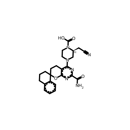 N#CC[C@H]1CN(c2nc(C(N)=O)nc3c2CCC2(CCCc4ccccc42)O3)CCN1C(=O)O